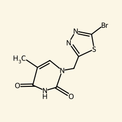 Cc1cn(Cc2nnc(Br)s2)c(=O)[nH]c1=O